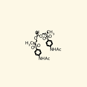 CC(=O)Nc1ccc(S(=O)(=O)N(C)CO[PH](=O)OCN(C)S(=O)(=O)c2ccc(NC(C)=O)cc2)cc1